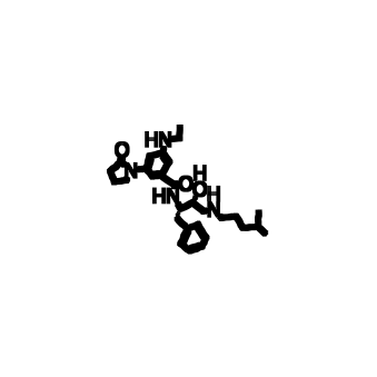 CCNc1cc(C(=O)N[C@@H](Cc2ccccc2)[C@@H](O)CNCCCC(C)C)cc(N2CCCC2=O)c1